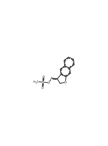 CS(=O)(=O)ON=C1COc2cc3ccccc3cc21